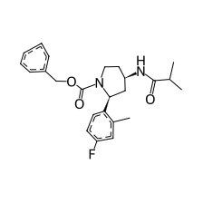 Cc1cc(F)ccc1[C@@H]1C[C@H](NC(=O)C(C)C)CCN1C(=O)OCc1ccccc1